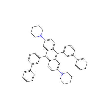 C1=CC(c2cccc(-c3c4ccc(N5CCCCC5)cc4c(-c4cccc(-c5ccccc5)c4)c4ccc(N5CCCCC5)cc34)c2)=CCC1